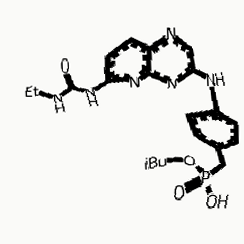 CCNC(=O)Nc1ccc2ncc(Nc3ccc(CP(=O)(O)OC(C)CC)cc3)nc2n1